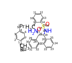 Cc1ccc(C(C)C)cc1.Cc1ccccc1S(=O)(=O)N[C@@H](c1ccccc1)[C@@H](N)c1ccccc1.[Ru]